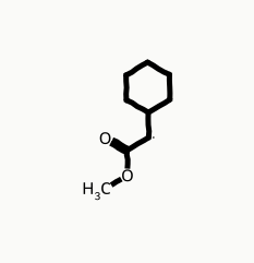 COC(=O)[CH]C1CCCCC1